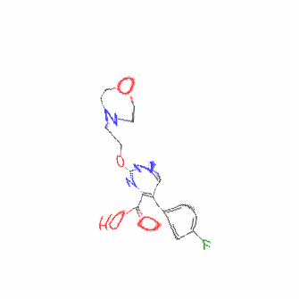 O=C(O)c1nc(OCCN2CCOCC2)ncc1-c1ccc(F)cc1